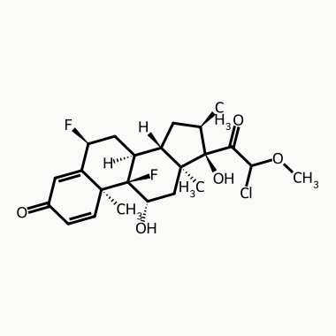 COC(Cl)C(=O)[C@@]1(O)[C@H](C)C[C@H]2[C@@H]3C[C@H](F)C4=CC(=O)C=C[C@]4(C)[C@@]3(F)[C@@H](O)C[C@@]21C